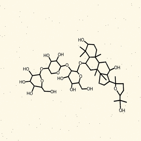 CC(C)(O)C1CCC(C)(C2CCC3(C)C2C(O)CC2C4(C)CCC(O)C(C)(C)C4C(OC4OC(CO)C(O)C(O)C4OC4OCC(OC5OC(CO)C(O)C(O)C5O)C(O)C4O)CC23C)O1